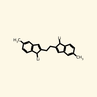 [Li][CH]1C(CCC2=Cc3cc(C)ccc3[CH]2[Li])=Cc2cc(C)ccc21